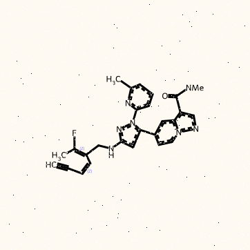 C#C/C=C\C(CNc1cc(-c2ccn3ncc(C(=O)NC)c3c2)n(-c2cccc(C)n2)n1)=C(/C)F